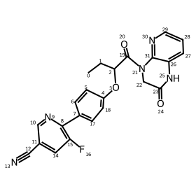 CCC(Oc1ccc(-c2ncc(C#N)cc2F)cc1)C(=O)N1CC(=O)Nc2cccnc21